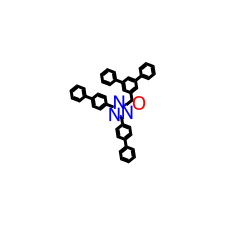 O=C(c1cc(-c2ccccc2)cc(-c2ccccc2)c1)c1nc(-c2ccc(-c3ccccc3)cc2)nc(-c2ccc(-c3ccccc3)cc2)n1